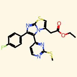 CCOC(=O)Cc1csc2nc(-c3ccc(F)cc3)c(-c3ccnc(SC)n3)n12